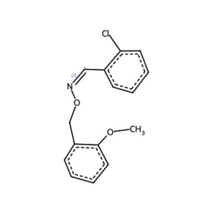 COc1ccccc1CO/N=[C]\c1ccccc1Cl